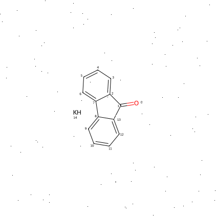 O=C1c2ccccc2-c2ccccc21.[KH]